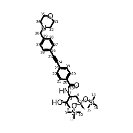 CC(O)C(C[Si](C)(O[Si](C)(C)C)O[Si](C)(C)C)NC(=O)c1ccc(C#Cc2ccc(CN3CCOCC3)cc2)cc1